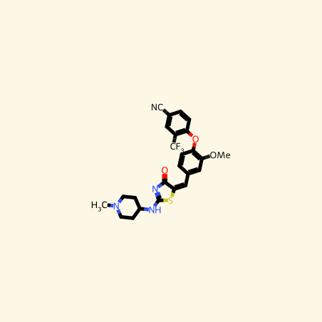 COc1cc(C=C2SC(NC3CCN(C)CC3)=NC2=O)ccc1Oc1ccc(C#N)cc1C(F)(F)F